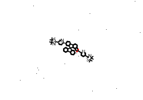 CC1(C)N=C(c2ccc(-c3ccc4c(c3)C3(c5ccccc5-c5ccccc53)c3c-4ccc4cc(-c5ccc(C6=NC(C)(C)C(C)(C)S6)cn5)ccc34)nc2)SC1(C)C